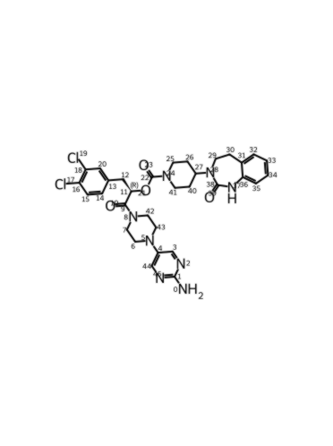 Nc1ncc(N2CCN(C(=O)[C@@H](Cc3ccc(Cl)c(Cl)c3)OC(=O)N3CCC(N4CCc5ccccc5NC4=O)CC3)CC2)cn1